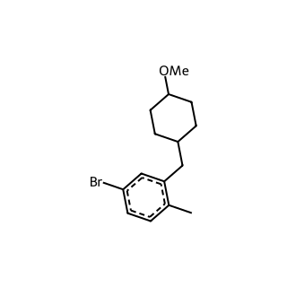 COC1CCC(Cc2cc(Br)ccc2C)CC1